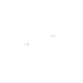 CCCCC(CC)COC(=O)CCCCCCCCCCCCCCCCC(=O)OCC(CC)CCCC